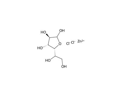 OCC(O)[C@H]1OC(O)[C@H](O)[C@H]1O.[Cl-].[Cl-].[Zn+2]